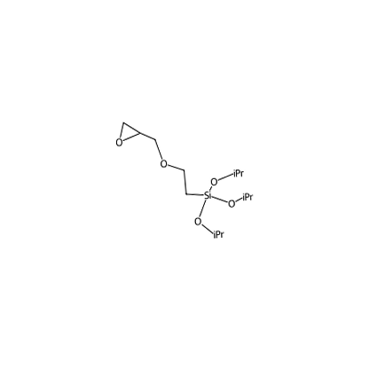 CC(C)O[Si](CCOCC1CO1)(OC(C)C)OC(C)C